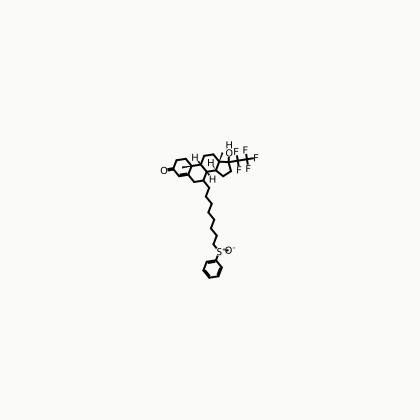 C[C@]12CCC(=O)C=C1CC(CCCCCCCC[S+]([O-])c1ccccc1)[C@@H]1[C@H]2CC[C@@]2(C)[C@H]1CCC2(O)C(F)(F)C(F)(F)F